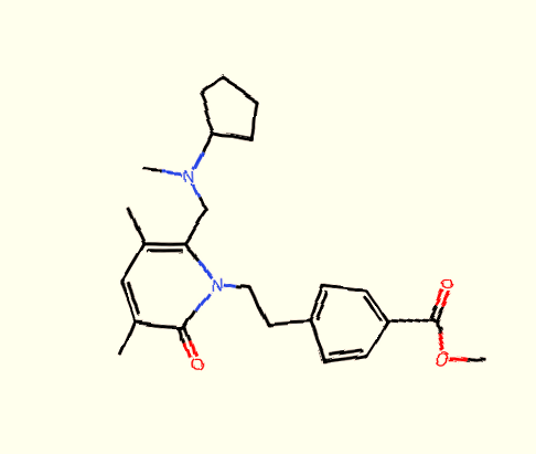 COC(=O)c1ccc(CCn2c(CN(C)C3CCCC3)c(C)cc(C)c2=O)cc1